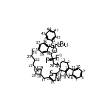 C[C@@H]1Cc2c([nH]c3ccccc23)[C@@H](c2ncc(CC3CN(CCCF)C3)s2)N1CC(F)(F)CO[Si](c1ccccc1)(c1ccccc1)C(C)(C)C